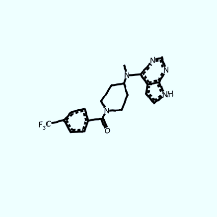 CN(c1ncnc2[nH]ccc12)C1CCN(C(=O)c2ccc(C(F)(F)F)cc2)CC1